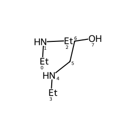 CCNCC.CCNCCO